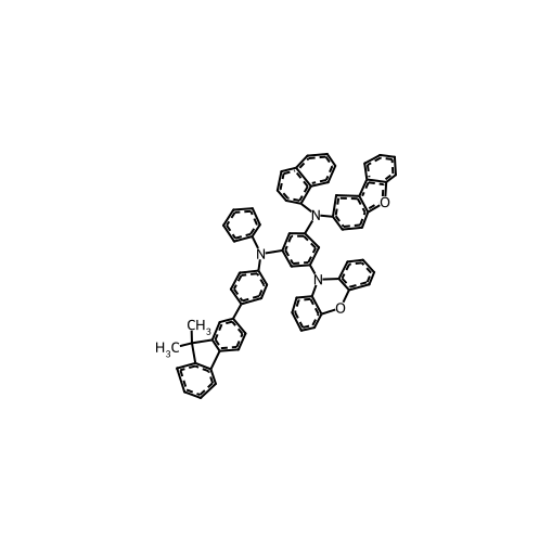 CC1(C)c2ccccc2-c2ccc(-c3ccc(N(c4ccccc4)c4cc(N5c6ccccc6Oc6ccccc65)cc(N(c5ccc6oc7ccccc7c6c5)c5cccc6ccccc56)c4)cc3)cc21